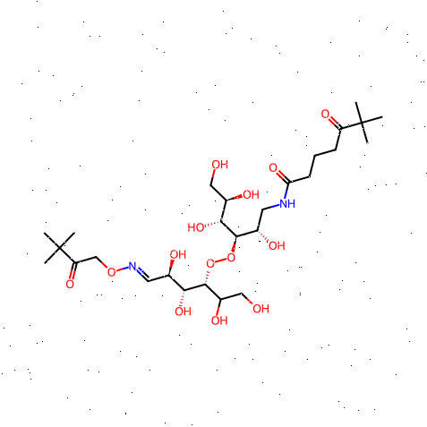 CC(C)(C)C(=O)CCCC(=O)NC[C@H](O)[C@@H](OO[C@H](C(O)CO)[C@H](O)[C@H](O)/C=N/OCC(=O)C(C)(C)C)[C@H](O)[C@H](O)CO